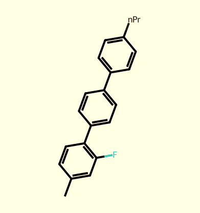 CCCc1ccc(-c2ccc(-c3ccc(C)cc3F)cc2)cc1